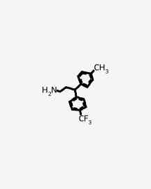 Cc1ccc(C(CCN)c2ccc(C(F)(F)F)cc2)cc1